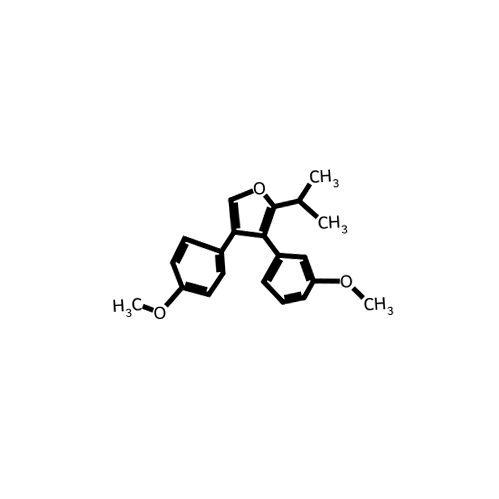 COc1ccc(-c2coc(C(C)C)c2-c2cccc(OC)c2)cc1